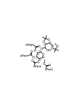 CCCCCCCC(=O)O[C@@H]1[C@H](OC(O)[C@H]2OC(C)(C)O[C@@H]2[C@@H]2COC(C)(C)O2)O[C@H](COC(=O)CCCCC)[C@@H](OC(=O)CCCCC)[C@@H]1OC(=O)CCCCC